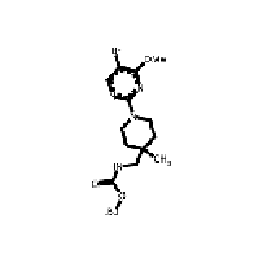 COc1nc(N2CCC(C)(CNC(=O)OC(C)(C)C)CC2)ncc1Br